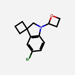 Brc1ccc2c(c1)C1(CCC1)CN2C1CCO1